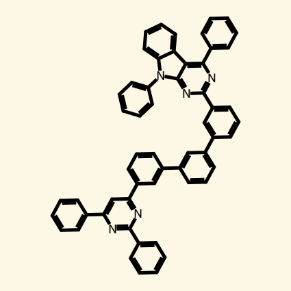 c1ccc(-c2cc(-c3cccc(-c4cccc(-c5cccc(-c6nc(-c7ccccc7)c7c8ccccc8n(-c8ccccc8)c7n6)c5)c4)c3)nc(-c3ccccc3)n2)cc1